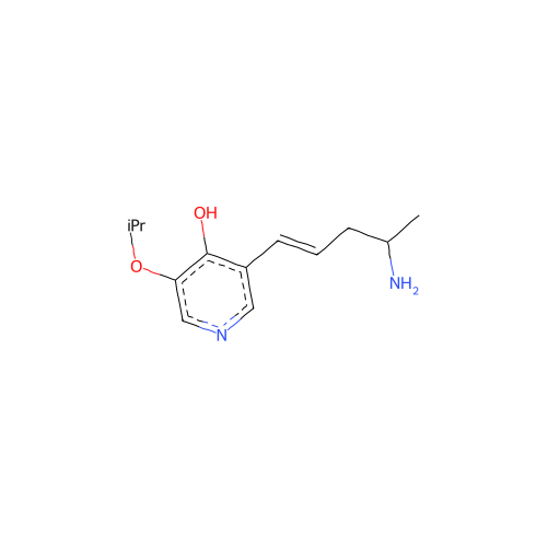 CC(N)CC=Cc1cncc(OC(C)C)c1O